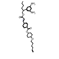 C=CCCCCOC1CCC(OC(=O)c2ccc(/C=C/C(=O)OCC(CCCC)c3cc(N)cc(N)c3)cc2)CC1